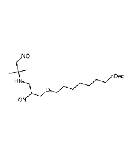 CCCCCCCCCCCCCCCCCOCC(CNC(C)(C)CN=O)N=O